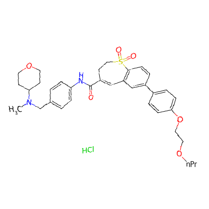 CCCOCCOc1ccc(-c2ccc3c(c2)C=C(C(=O)Nc2ccc(CN(C)C4CCOCC4)cc2)CCS3(=O)=O)cc1.Cl